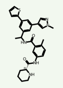 Cc1ccc(NC(=O)[C@H]2CCCCN2)cc1C(=O)NC(C)c1cc(-c2cnn(C)c2)cc(-c2cccs2)c1